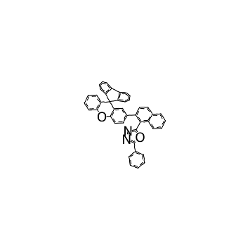 c1ccc(-c2nnc(-c3c(-c4ccc5c(c4)C4(c6ccccc6O5)c5ccccc5-c5ccccc54)ccc4ccccc34)o2)cc1